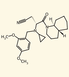 COc1ccc(CN(C2CC2)[C@H](CC#N)C(=O)N2CCC[C@H]3CCCC[C@@H]32)c(OC)c1